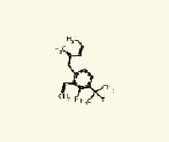 C=Cc1c(CC(=C)/C=C\C)ccc(C(C)(C)F)c1F